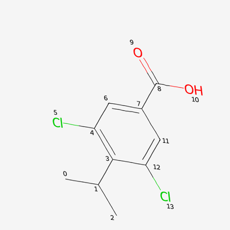 CC(C)c1c(Cl)cc(C(=O)O)cc1Cl